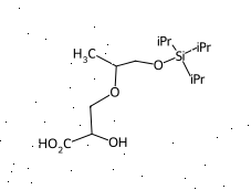 CC(CO[Si](C(C)C)(C(C)C)C(C)C)OCC(O)C(=O)O